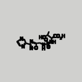 CC(O)[C@H](NS(=O)(=O)NCc1nc(-c2cnccn2)no1)C(=O)O